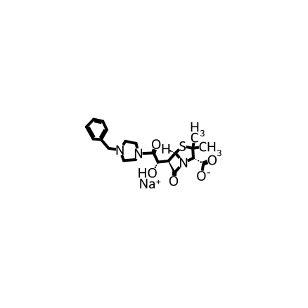 CC1(C)S[C@@H]2[C@H]([C@H](O)C(=O)N3CCN(Cc4ccccc4)CC3)C(=O)N2[C@H]1C(=O)[O-].[Na+]